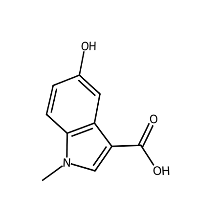 Cn1cc(C(=O)O)c2cc(O)ccc21